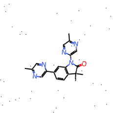 Cc1cnc(-c2ccc3c(c2)N(c2cnc(C)cn2)C(=O)C3(C)C)cn1